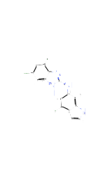 Clc1cc(Cl)c2nc(Nc3cc(Cl)c4cc[nH]c4c3)[nH]c2c1